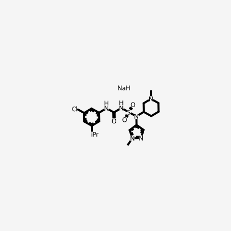 CC(C)c1cc(Cl)cc(NC(=O)NS(=O)(=O)N(c2cnn(C)c2)C2CCCN(C)C2)c1.[NaH]